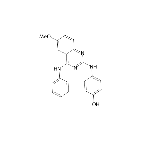 COc1ccc2nc(Nc3ccc(O)cc3)nc(Nc3ccccc3)c2c1